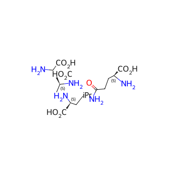 CC(C)C[C@H](N)C(=O)O.C[C@H](N)C(=O)O.NC(=O)CC[C@H](N)C(=O)O.NCC(=O)O